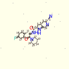 N#Cc1cc2cc(C(=O)N[C@@H](Cc3ccc(F)cc3)C(=O)N3CCCCC3)[nH]c2cn1